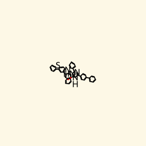 c1ccc(-c2ccc(C3=NC(c4ccccc4-n4c5ccccc5c5cc6c(cc54)sc4ccccc46)NC(c4ccccc4)N3)cc2)cc1